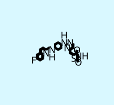 O=C1NC(=O)/C(=C\c2ccnc(NC3CCC(NCc4ccc5cc(F)ccc5n4)CC3)n2)S1